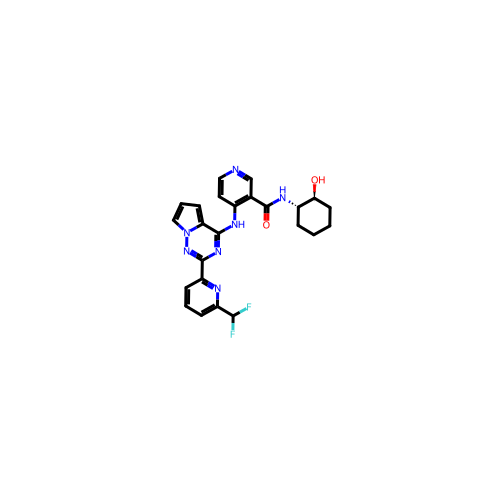 O=C(N[C@H]1CCCC[C@@H]1O)c1cnccc1Nc1nc(-c2cccc(C(F)F)n2)nn2cccc12